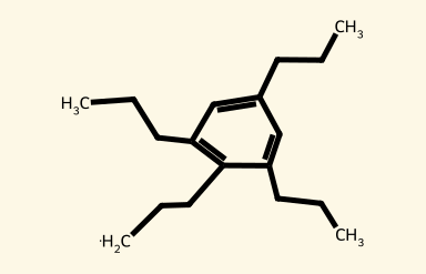 [CH2]CCc1c(CCC)cc(CCC)cc1CCC